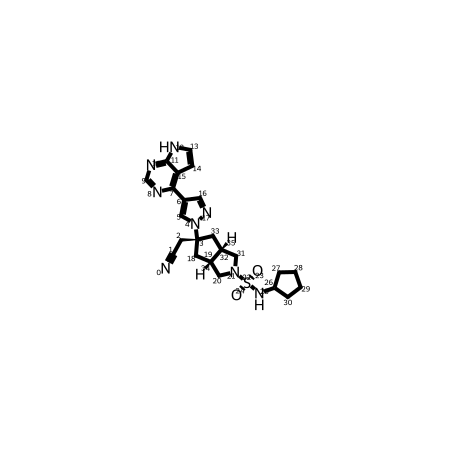 N#CC[C@]1(n2cc(-c3ncnc4[nH]ccc34)cn2)C[C@H]2CN(S(=O)(=O)NC3CCCC3)C[C@H]2C1